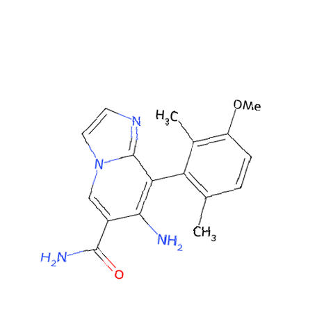 COc1ccc(C)c(-c2c(N)c(C(N)=O)cn3ccnc23)c1C